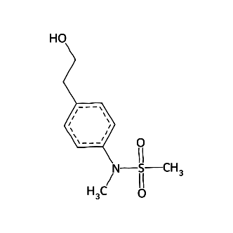 CN(c1ccc(CCO)cc1)S(C)(=O)=O